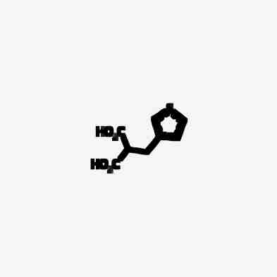 O=C(O)C(Cc1ccsc1)C(=O)O